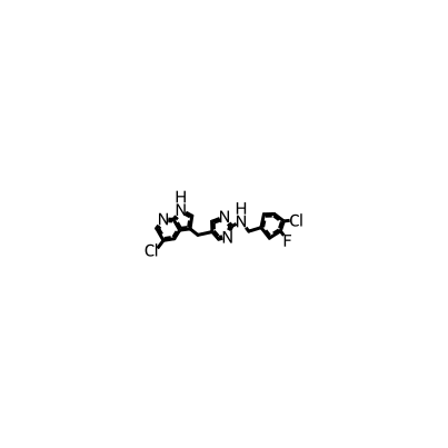 Fc1cc(CNc2ncc(Cc3c[nH]c4ncc(Cl)cc34)cn2)ccc1Cl